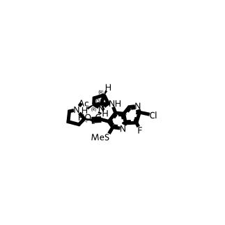 CSc1nc2c(F)c(Cl)ncc2c(N[C@H]2[C@@H]3C[C@H]2N(C(=O)O)C3)c1C#C[C@H]1CCCN1C(C)=O